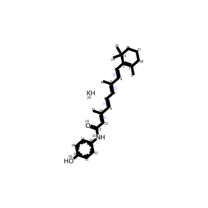 CC1=C(/C=C/C(C)=C/C=C/C(C)=C/C(=O)Nc2ccc(O)cc2)C(C)(C)CCC1.[KH]